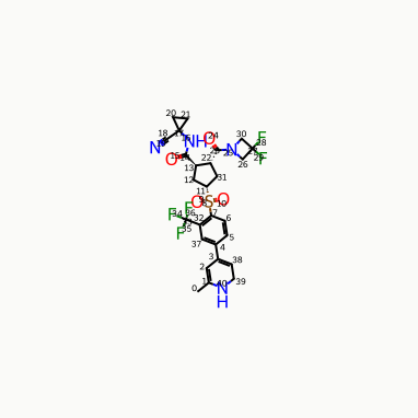 CC1=CC(c2ccc(S(=O)(=O)[C@@H]3C[C@@H](C(=O)NC4(C#N)CC4)[C@H](C(=O)N4CC(F)(F)C4)C3)c(C(F)(F)F)c2)=CCN1